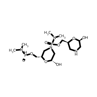 CN(C)[PH](=O)OC[C@@H]1CN(P(=O)(OC[C@@H]2CNC[C@H](O)O2)N(C)C)C[C@H](O)O1